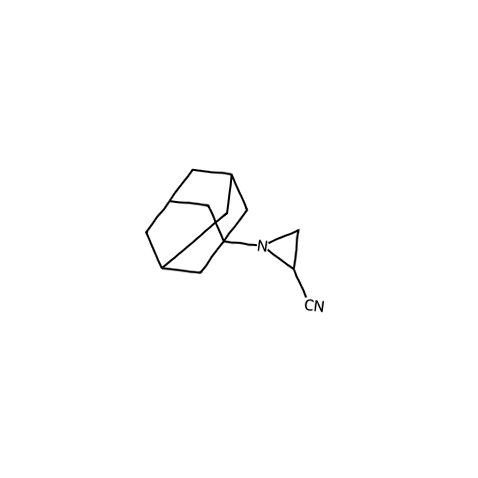 N#CC1CN1C12CC3CC(CC(C3)C1)C2